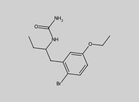 CCOc1ccc(Br)c(CC(CC)NC(N)=O)c1